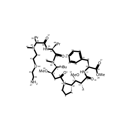 CC[C@H](C)[C@@H]([C@@H](CC(=O)N1CCC[C@H]1[C@H](OC)[C@@H](C)C(=O)N[C@@H](Cc1ccccc1)C(=O)OC)OC)N(C)C(=O)[C@@H](NC(=O)[C@H](C(C)C)N(C)CCOCCN)C(C)C